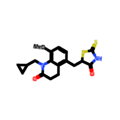 COc1ccc(CC2SC(=S)NC2=O)c2c1N(CC1CC1)C(=O)CC2